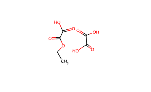 CCOC(=O)C(=O)O.O=C(O)C(=O)O